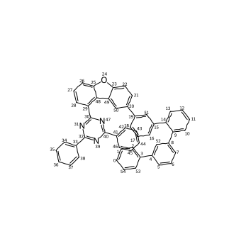 c1ccc(-c2cccc(-c3ccccc3-c3cccc(-c4ccc5oc6cccc(-c7nc(-c8ccccc8)nc(-c8ccccc8)n7)c6c5c4)c3)c2)cc1